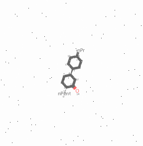 CCCCC[C@@H]1CC[C@@H](C2CCC(CCC)CC2)CC1=O